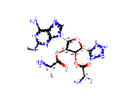 CNc1nc(N)c2ncn([C@@H]3O[C@H](c4nnn[nH]4)[C@@H](OC(=O)[C@H](C)N)[C@H]3OC(=O)[C@H](C)N)c2n1